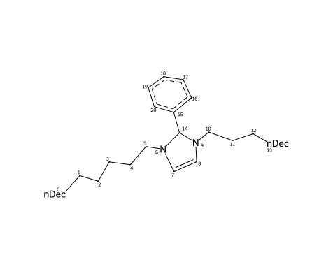 CCCCCCCCCCCCCCCN1C=CN(CCCCCCCCCCCCC)C1c1ccccc1